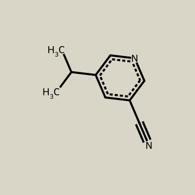 CC(C)c1cncc(C#N)c1